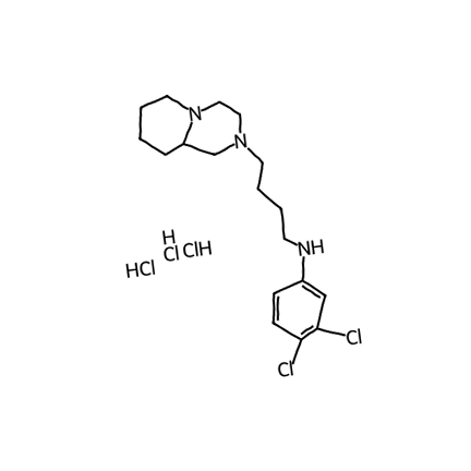 Cl.Cl.Cl.Clc1ccc(NCCCCN2CCN3CCCCC3C2)cc1Cl